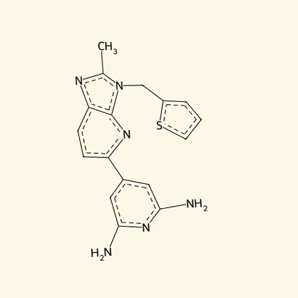 Cc1nc2ccc(-c3cc(N)nc(N)c3)nc2n1Cc1cccs1